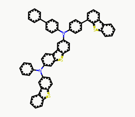 c1ccc(-c2ccc(N(c3ccc(-c4cccc5c4sc4ccccc45)cc3)c3ccc4sc5cc(N(c6ccccc6)c6ccc7sc8ccccc8c7c6)ccc5c4c3)cc2)cc1